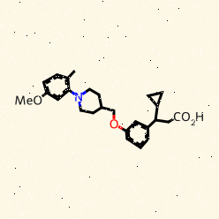 COc1ccc(C)c(N2CCC(COc3cccc(C(CC(=O)O)C4CC4)c3)CC2)c1